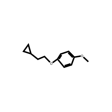 COc1ccc(OC[CH]C2CC2)cc1